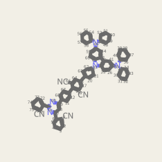 N#Cc1ccccc1-c1cc(-c2ccc(-c3c(C#N)cc(-c4ccc(-n5c6ccc(N(c7ccccc7)c7ccccc7)cc6c6cc(N(c7ccccc7)c7ccccc7)ccc65)cc4)cc3C#N)cc2)nc(-c2ccccc2C#N)n1